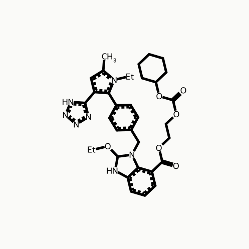 CCOC1Nc2cccc(C(=O)OCCOC(=O)OC3CCCCC3)c2N1Cc1ccc(-c2c(-c3nnn[nH]3)cc(C)n2CC)cc1